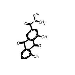 CCCN(C)C(=O)c1cc(O)c2c(c1)C(=O)c1cccc(O)c1C2=O